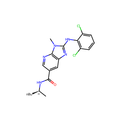 CCCC[C@H](C)NC(=O)c1cnc2c(c1)nc(Nc1c(Cl)cccc1Cl)n2C